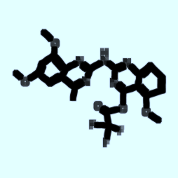 COc1cc(OC)c2nc(Nc3nc(OC(=O)C(F)(F)F)c4c(OC)cccc4n3)nc(C)c2c1